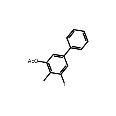 CC(=O)Oc1cc(-c2ccccc2)cc(I)c1C